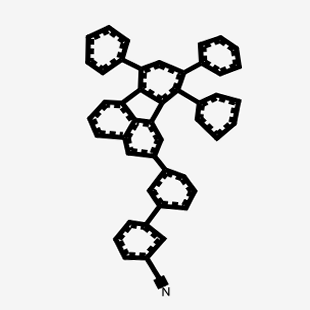 N#Cc1cccc(-c2cccc(-c3cc4c5c(cccc5c3)-c3c(-c5ccccc5)cc(-c5ccccc5)c(-c5ccccc5)c3-4)c2)c1